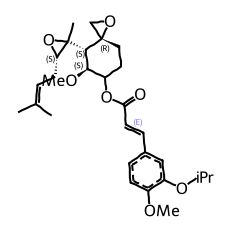 COc1ccc(/C=C/C(=O)OC2CC[C@]3(CO3)[C@@H](C3(C)O[C@H]3CC=C(C)C)[C@@H]2OC)cc1OC(C)C